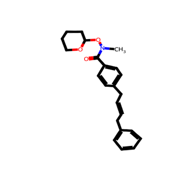 CN(OC1CCCCO1)C(=O)c1ccc(CC=CCc2ccccc2)cc1